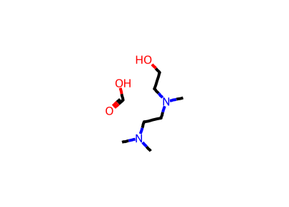 CN(C)CCN(C)CCO.O=CO